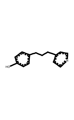 Oc1ccc(CCCc2ccncc2)cc1